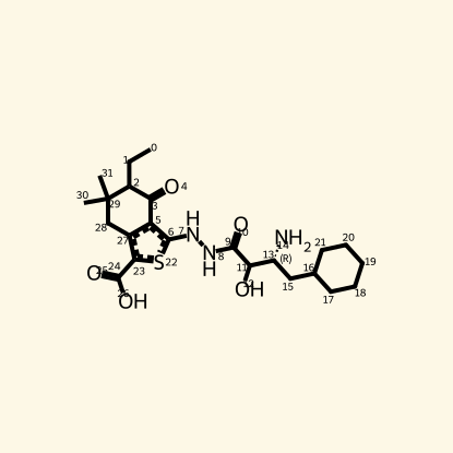 CCC1C(=O)c2c(NNC(=O)C(O)[C@H](N)CC3CCCCC3)sc(C(=O)O)c2CC1(C)C